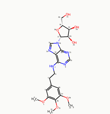 COc1cc(CCNc2ncnc3c2ncn3[C@@H]2O[C@H](CO)[C@@H](O)[C@H]2O)cc(OC)c1OC